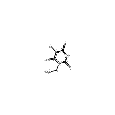 CCn1c(=O)[nH]c(=O)n(CC(=O)O)c1=O